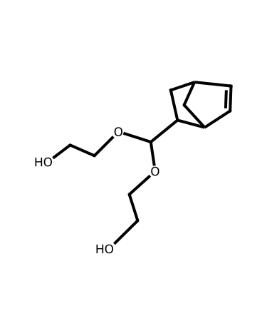 OCCOC(OCCO)C1CC2C=CC1C2